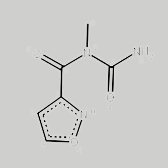 CN(C(N)=O)C(=O)c1ccon1